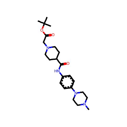 CN1CCN(c2ccc(NC(=O)C3CCN(CC(=O)OC(C)(C)C)CC3)cc2)CC1